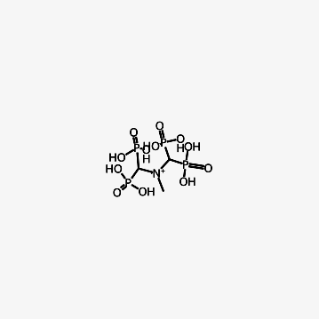 C[N+](C(P(=O)(O)O)P(=O)(O)O)C(P(=O)(O)O)P(=O)(O)O